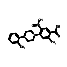 Cc1cc(N2CCN(c3ccccc3C)CC2)c([N+](=O)O)cc1C(=O)O